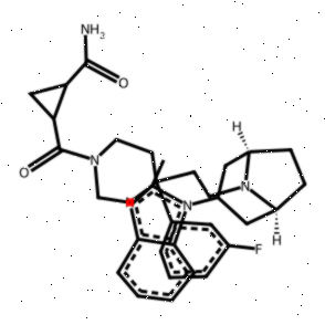 Cc1nc2ccccc2n1C1C[C@H]2CC[C@@H](C1)N2CCC1(c2cccc(F)c2)CCN(C(=O)C2CC2C(N)=O)CC1